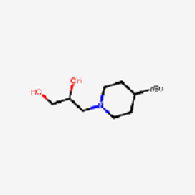 CCCCC1CCN(CC(O)CO)CC1